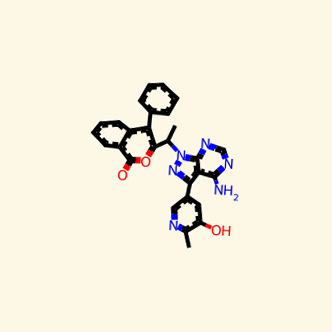 Cc1ncc(-c2nn(C(C)c3oc(=O)c4ccccc4c3-c3ccccc3)c3ncnc(N)c23)cc1O